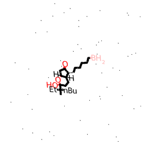 BCCCCCC[C@H]1C(=O)C[C@H]2O[C@@](O)(C(C)(CC)CCCC)CC[C@@H]21